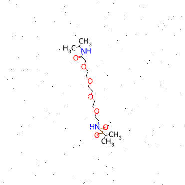 CC(C)NC(=O)COCCOCCOCCOCCNS(=O)(=O)C(C)C